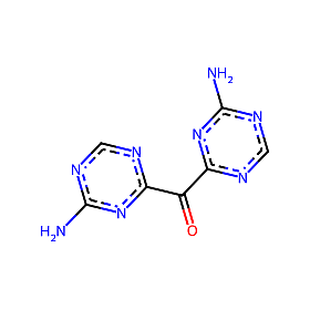 Nc1ncnc(C(=O)c2ncnc(N)n2)n1